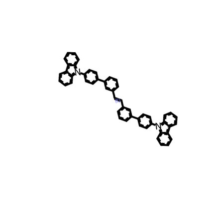 C(=C\c1cccc(-c2ccc(-n3c4ccccc4c4ccccc43)cc2)c1)/c1cccc(-c2ccc(-n3c4ccccc4c4ccccc43)cc2)c1